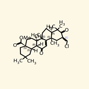 COC(=O)[C@]12CCC(C)(C)C[C@H]1[C@H]1C(=O)C=C3[C@@]4(C)C/C(=C\Cl)C(=O)C(C)(C)[C@@H]4CC[C@@]3(C)[C@]1(C)CC2